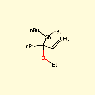 C=C[C](CCC)(OCC)[Sn]([CH2]CCC)[CH2]CCC